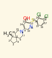 C[C@@H]1CCCC12CCN(c1cnc(Sc3cccc(Cl)c3Cl)c(O)c1)CC2